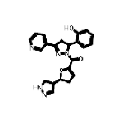 O=C(C1=CCC(C2C=NNC2)S1)N1N=C(c2cccnc2)CC1c1ccccc1O